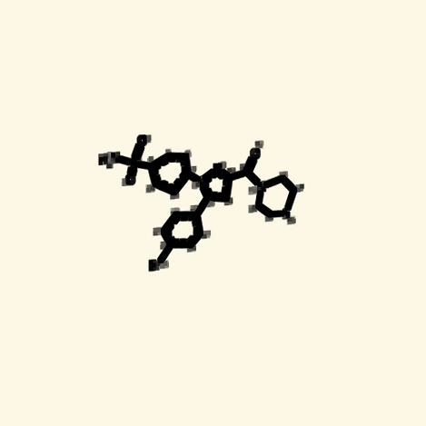 NS(=O)(=O)c1ccc(-n2nc(C(=O)N3CCSCC3)cc2-c2ccc(Br)cc2)cc1